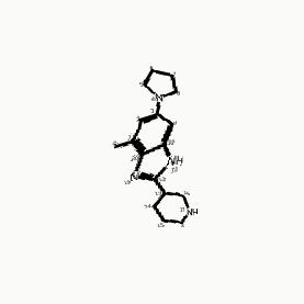 Cc1cc(N2CCCC2)cc2[nH]c(C3CCCNC3)nc12